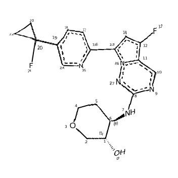 O[C@@H]1COCC[C@H]1Nc1ncc2c(F)cc(-c3ccc(C4(F)CC4)cn3)n2n1